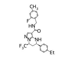 CCc1ccc([C@H]2C[C@@H](C(F)(F)F)n3ncc(C(=O)NCc4ccc(C)cc4F)c3N2)cc1